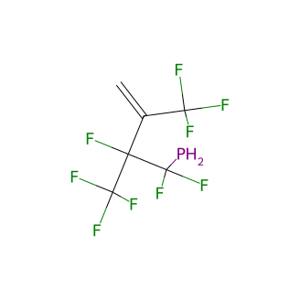 C=C(C(F)(F)F)C(F)(C(F)(F)F)C(F)(F)P